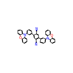 N#Cc1cc(-c2cccc(N3c4ccccc4Oc4ccccc43)c2)c(C#N)cc1-c1cccc(N2c3ccccc3Oc3ccccc32)c1